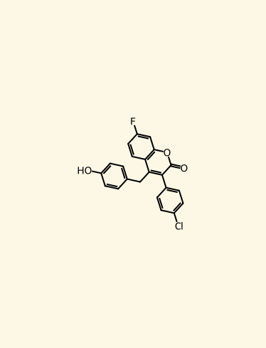 O=c1oc2cc(F)ccc2c(Cc2ccc(O)cc2)c1-c1ccc(Cl)cc1